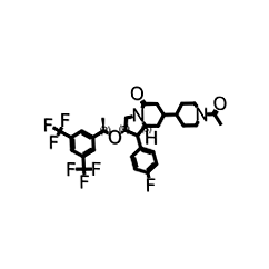 CC(=O)N1CCC(C2CC(=O)N3C[C@H](O[C@H](C)c4cc(C(F)(F)F)cc(C(F)(F)F)c4)C(c4ccc(F)cc4)[C@@H]3C2)CC1